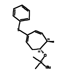 C[C@@H]1C=CC(Sc2ccccc2)=CC[C@H]1O[Si](C)(C)C(C)(C)C